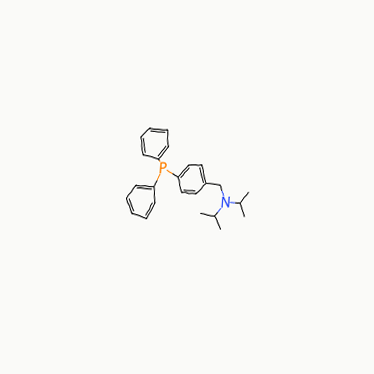 CC(C)N(Cc1ccc(P(c2ccccc2)c2ccccc2)cc1)C(C)C